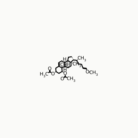 CO/C=C/CC[C@@H](C)[C@H]1CC[C@H]2[C@@H]3CC=C4C[C@@H](OC(C)=O)C[C@H](OC(C)=O)[C@]4(C)[C@H]3CC[C@]12C